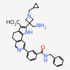 NCC1(c2[nH]c3c(c2C(=O)O)CCc2cnc(-c4cccc(C(=O)NCc5ccccc5)c4)cc2-3)CN(CC2CC2)C1